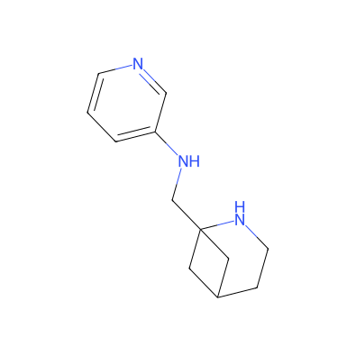 c1cncc(NCC23CC(CCN2)C3)c1